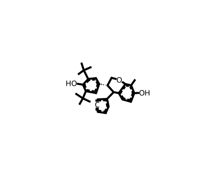 Cc1c(O)ccc2c1OC[C@@H](c1cc(C(C)(C)C)c(O)c(C(C)(C)C)c1)C2c1ccccc1